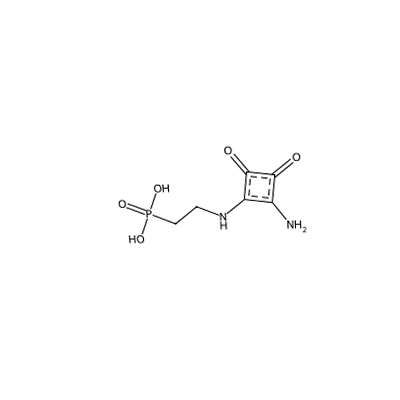 Nc1c(NCCP(=O)(O)O)c(=O)c1=O